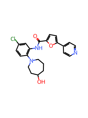 O=C(Nc1cc(Cl)ccc1N1CCCC(O)CC1)c1ccc(-c2ccncc2)o1